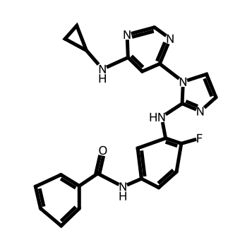 O=C(Nc1ccc(F)c(Nc2nccn2-c2cc(NC3CC3)ncn2)c1)c1ccccc1